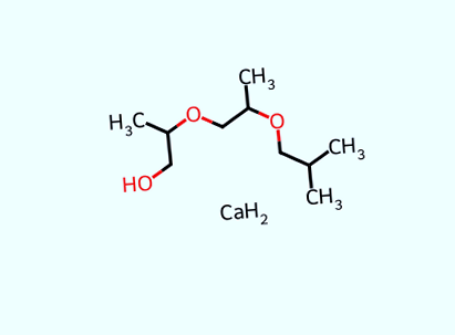 CC(C)COC(C)COC(C)CO.[CaH2]